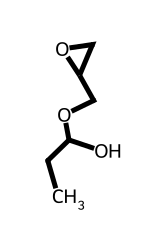 CCC(O)OCC1CO1